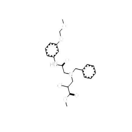 COCOc1cccc(NC(=O)CN(Cc2ccccc2)CC(Cl)C(=O)OC)c1